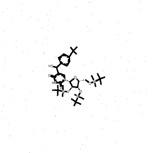 CC(C)(C)c1ccc(C(O)c2cn([C@@H]3O[C@H](CO[Si](C)(C)C(C)(C)C)[C@@H](O[Si](C)(C)C(C)(C)C)[C@H]3O[Si](C)(C)C(C)(C)C)c(=O)[nH]c2=O)cc1